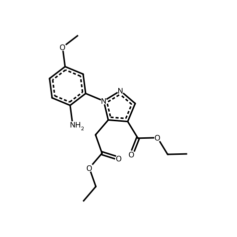 CCOC(=O)Cc1c(C(=O)OCC)cnn1-c1cc(OC)ccc1N